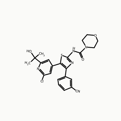 CC(C)(O)c1cc(-c2sc(NC(=O)N3CCOCC3)nc2-c2cccc(C#N)c2)cc(Cl)n1